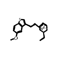 CCC1CC2C=CC1N(CCc1csc3ccc(OC)cc13)C2